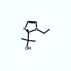 CCn1c[c]nc1C(C)(C)O